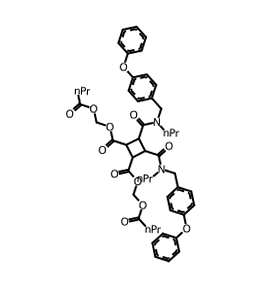 CCCC(=O)OCOC(=O)C1C(C(=O)OCOC(=O)CCC)C(C(=O)N(CCC)Cc2ccc(Oc3ccccc3)cc2)C1C(=O)N(CCC)Cc1ccc(Oc2ccccc2)cc1